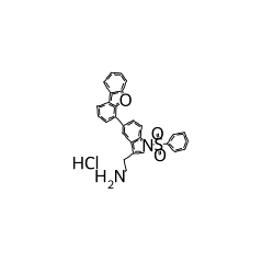 Cl.NCCc1cn(S(=O)(=O)c2ccccc2)c2ccc(-c3cccc4c3oc3ccccc34)cc12